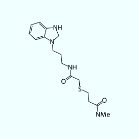 CNC(=O)CCSCC(=O)NCCCN1CNc2ccccc21